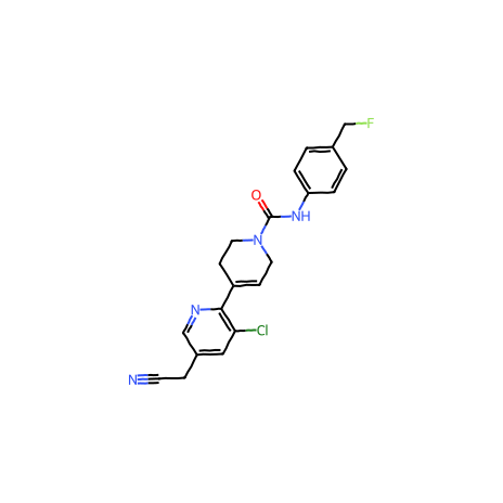 N#CCc1cnc(C2=CCN(C(=O)Nc3ccc(CF)cc3)CC2)c(Cl)c1